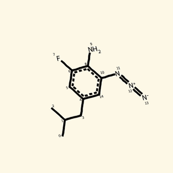 CC(C)Cc1cc(F)c(N)c(N=[N+]=[N-])c1